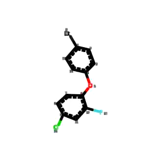 CCc1ccc(Oc2ccc(Cl)cc2F)cc1